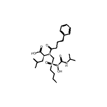 CCCCP(=O)(CN(C(=O)CCCc1ccccc1)[C@@H](CC(C)C)C(=O)O)N(O)C(=O)NC(C)C